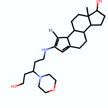 CCC1=C(NCCC(CCO)N2CCOCC2)C=C2CCC3C(CCC4(C)C(O)CCC34)C21